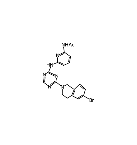 CC(=O)Nc1cccc(Nc2ncnc(N3CCc4cc(Br)ccc4C3)n2)n1